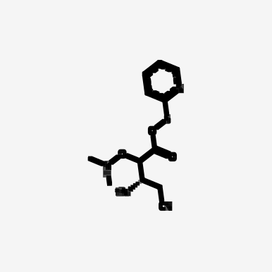 C[SiH](C)OC(C(=O)OSc1ccccn1)[C@H](CC#N)C(C)(C)C